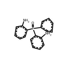 Nc1ccccc1P(=O)(c1ccccc1)c1ccccc1N